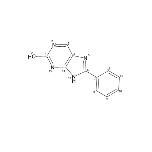 Oc1n[c]c2nc(-c3ccccc3)[nH]c2n1